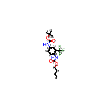 CCCCOC(=O)Nc1ccc(NC(=O)OC(C)(C)C)cc1C(F)(F)F